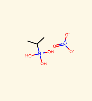 CC(C)[N+](O)(O)O.O=[N+]([O-])[O-]